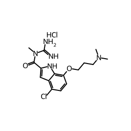 CN(C)CCCOc1ccc(Cl)c2cc(C(=O)N(C)C(=N)N)[nH]c12.Cl